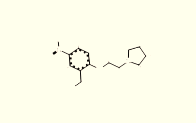 O=[N+]([O-])c1ccc(OCCN2CCCC2)c(CO)c1